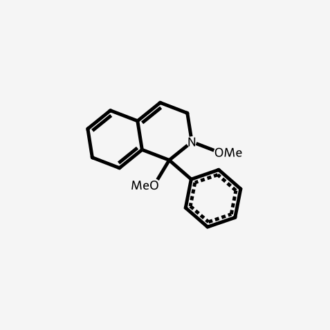 CON1CC=C2C=CCC=C2C1(OC)c1ccccc1